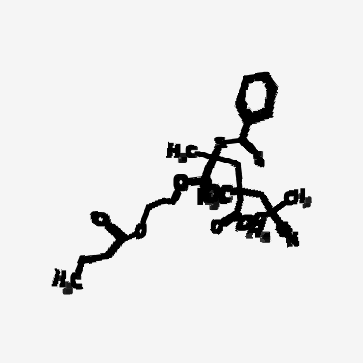 CCCC(=O)OCCOC(=O)C(C)(CC(C)(CC(C)(C)C#N)C(=O)O)SC(=S)c1ccccc1